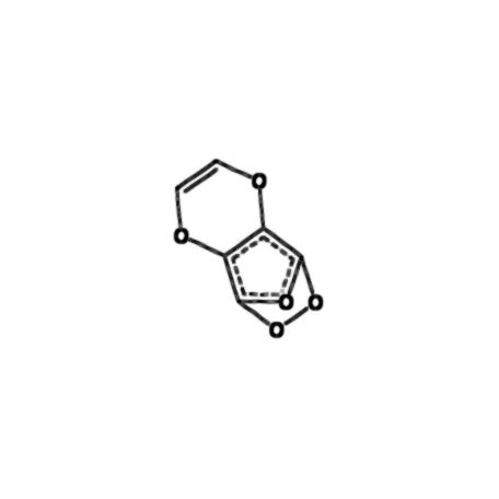 C1=COc2c3oc(c2O1)OO3